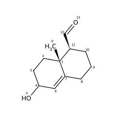 C[C@]12CCC(O)C=C1CCC[C@@H]2C=O